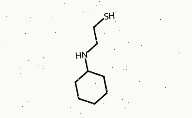 SCCNC1CCCCC1